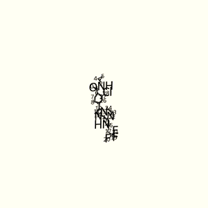 O=C(NC1CC1)c1ccc(-c2cnc3c(NCCC(F)(F)F)nccn23)cc1Cl